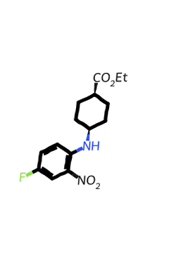 CCOC(=O)[C@H]1CC[C@@H](Nc2ccc(F)cc2[N+](=O)[O-])CC1